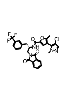 Cc1oc(C(=O)N[C@@H](Cc2cccc(C(F)(F)F)c2)CN2C(=O)c3ccccc3C2=O)cc1-c1c(Cl)cnn1C